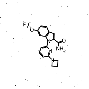 NC(=O)c1cc2ccc(OC(F)(F)F)cc2n1-c1cccc(N2CCC2)n1